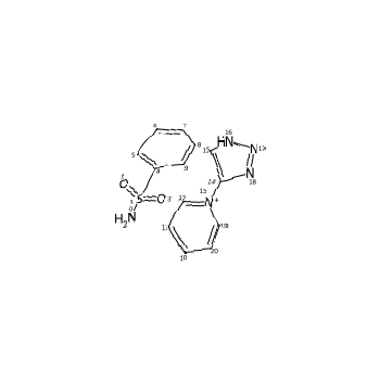 NS(=O)(=O)c1ccccc1.c1cc[n+](-c2c[nH]nn2)cc1